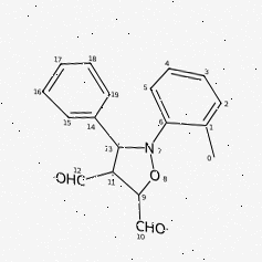 Cc1ccccc1N1OC([C]=O)[C]([C]=O)[C]1c1ccccc1